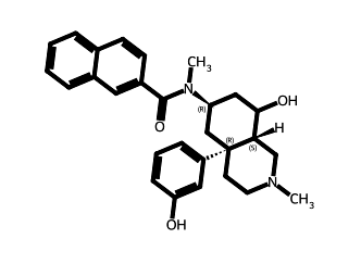 CN1CC[C@@]2(c3cccc(O)c3)C[C@@H](N(C)C(=O)c3ccc4ccccc4c3)CC(O)[C@@H]2C1